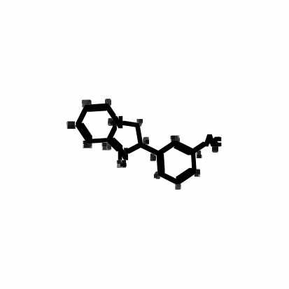 CC(=O)c1cccc(C2CN3C=CC=CC3=N2)c1